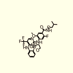 COc1cc(C(=O)NOCC(C)C)c(F)cc1Nc1ncc(C(F)(F)F)c(Nc2ccccc2P2(=O)OCCO2)n1